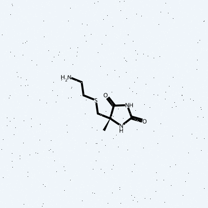 C[C@]1(CSCCN)NC(=O)NC1=O